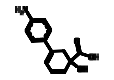 Nc1ccc(C2=CC=CC(O)(C(=O)O)C2)cc1